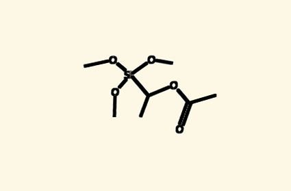 CO[Si](OC)(OC)C(C)OC(C)=O